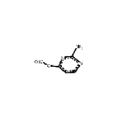 Nc1nccc(OC=O)n1